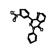 O=c1c2cccnc2c(-c2cccc([N+](=O)[O-])c2)nn1-c1ccccc1